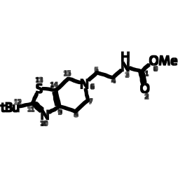 COC(=O)NCCN1CCc2nc(C(C)(C)C)sc2C1